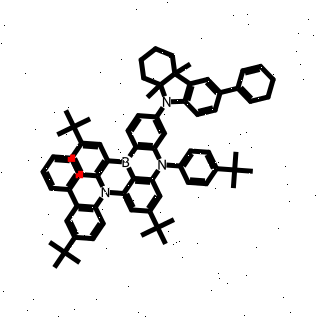 CC(C)(C)c1ccc(N2c3cc(N4c5ccc(C6=CCCC=C6)cc5C5(C)CCCCC45C)ccc3B3c4cc(C(C)(C)C)ccc4N(c4ccc(C(C)(C)C)cc4-c4ccccc4)c4cc(C(C)(C)C)cc2c43)cc1